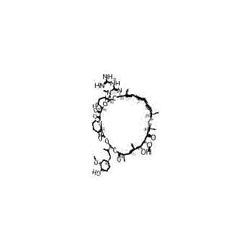 CO[C@@H]1C[C@@H](CC(C)[C@@H]2CC(=O)[C@H](C)/C=C(\C)[C@@H](O)[C@@H](OC)C(=O)[C@H](C)C[C@H](C)/C=C/C=C/C=C(/C)[C@@H](/N=C(/NC(=N)N)N(C)C)C[C@@H]3CC[C@@H](C)[C@@](O)(O3)C(=O)C(=O)N3CCCC[C@H]3C(=O)O2)CC[C@H]1O